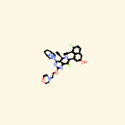 C#Cc1c(F)ccc2cc(O)cc(-c3nc(C#C)c4c(N5CC6CCC(C5)N6)nc(OCCN5CCOCC5)nc4c3F)c12